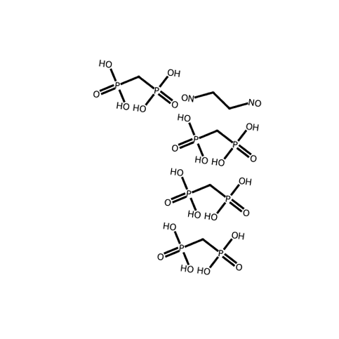 O=NCCN=O.O=P(O)(O)CP(=O)(O)O.O=P(O)(O)CP(=O)(O)O.O=P(O)(O)CP(=O)(O)O.O=P(O)(O)CP(=O)(O)O